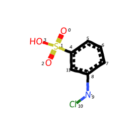 O=S(=O)(O)c1cccc([N]Cl)c1